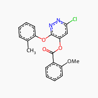 COc1ccccc1C(=O)Oc1cc(Cl)nnc1Oc1ccccc1C